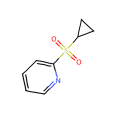 O=S(=O)(c1ccccn1)C1CC1